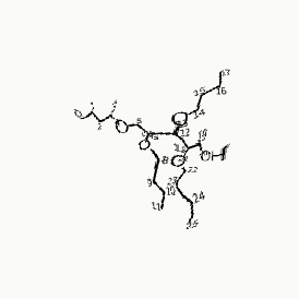 CCCCOC[C@H](OCCCC)C(OCCCC)C(CO)OCCCC